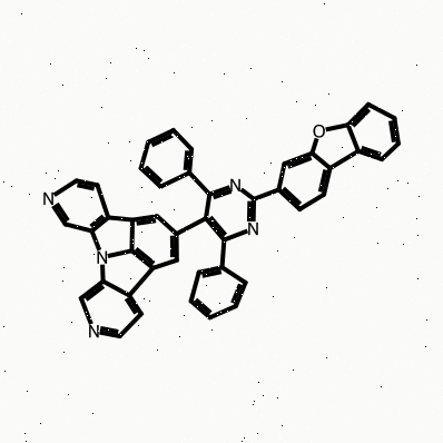 c1ccc(-c2nc(-c3ccc4c(c3)oc3ccccc34)nc(-c3ccccc3)c2-c2cc3c4ccncc4n4c5cnccc5c(c2)c34)cc1